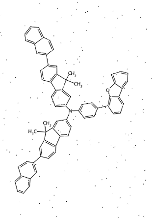 CC1(C)c2cc(-c3ccc4ccccc4c3)ccc2-c2ccc(N(c3ccc(-c4cccc5c4oc4ccccc45)cc3)c3ccc4c(c3)C(C)(C)c3cc(-c5ccc6ccccc6c5)ccc3-4)cc21